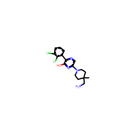 CC1(CN)CCN(c2cnc(-c3cccc(Cl)c3Cl)c(O)n2)CC1